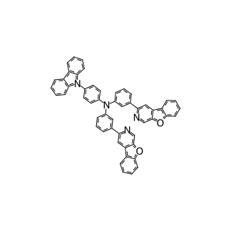 c1cc(-c2cc3c(cn2)oc2ccccc23)cc(N(c2ccc(-n3c4ccccc4c4ccccc43)cc2)c2cccc(-c3cc4c(cn3)oc3ccccc34)c2)c1